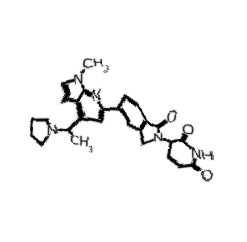 CC(c1cc(-c2ccc3c(c2)CN(C2CCC(=O)NC2=O)C3=O)nc2c1ccn2C)N1CCCC1